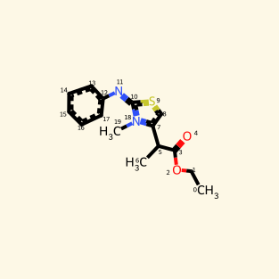 CCOC(=O)C(C)c1cs/c(=N/c2ccccc2)n1C